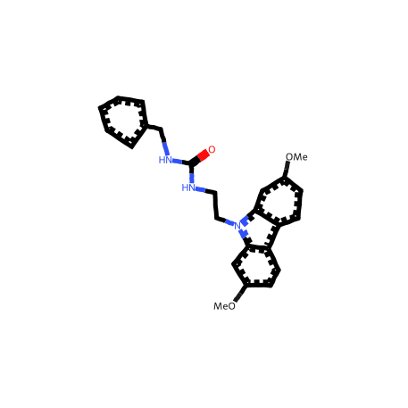 COc1ccc2c3ccc(OC)cc3n(CCNC(=O)NCc3ccccc3)c2c1